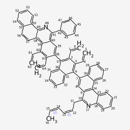 C=Cc1c(C=C)c(-c2cc3c(C/C=C\C=C/C)nc4ccccc4c3c3ccccc23)c2ccccc2c1-c1cc2c(-c3ccccc3)nc3c4ccccc4ccc3c2c(C=C)c1C=C